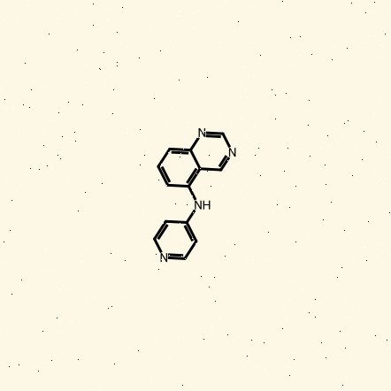 c1cc(Nc2ccncc2)c2cncnc2c1